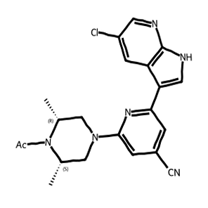 CC(=O)N1[C@H](C)CN(c2cc(C#N)cc(-c3c[nH]c4ncc(Cl)cc34)n2)C[C@@H]1C